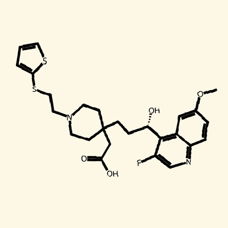 COc1ccc2ncc(F)c([C@@H](O)CCC3(CC(=O)O)CCN(CCSc4cccs4)CC3)c2c1